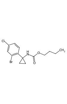 CCCCOC(=O)NC1(c2ccc(Cl)cc2Br)CC1